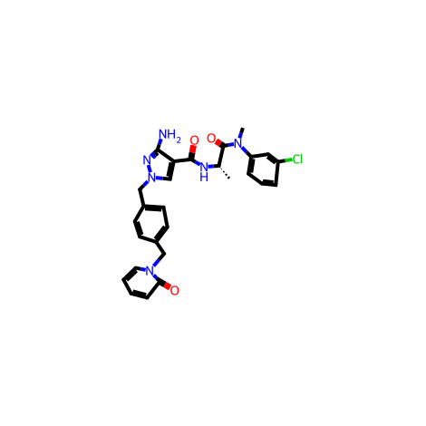 C[C@H](NC(=O)c1cn(Cc2ccc(Cn3ccccc3=O)cc2)nc1N)C(=O)N(C)c1cccc(Cl)c1